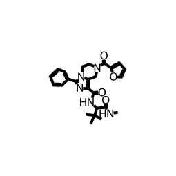 CNC(=O)C(NC(=O)c1nc(-c2ccccc2)n2c1CN(C(=O)c1ccco1)CC2)C(C)(C)C